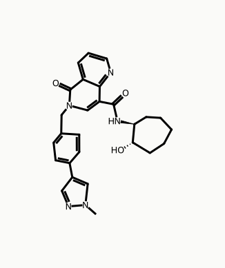 Cn1cc(-c2ccc(Cn3cc(C(=O)N[C@H]4CCCCC[C@@H]4O)c4ncccc4c3=O)cc2)cn1